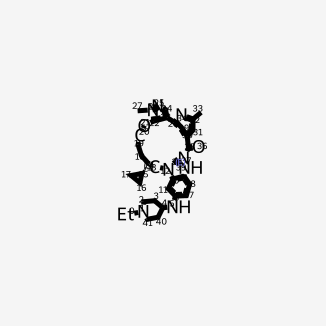 CCN1CCC(Nc2ccc3c(c2)N2C[C@H](C4CC4)CCCOc4c(cnn4C)-c4cc(cc(C)n4)C(=O)/N=C/2N3)CC1